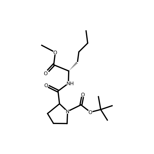 CCCC[C@H](NC(=O)C1CCCN1C(=O)OC(C)(C)C)C(=O)OC